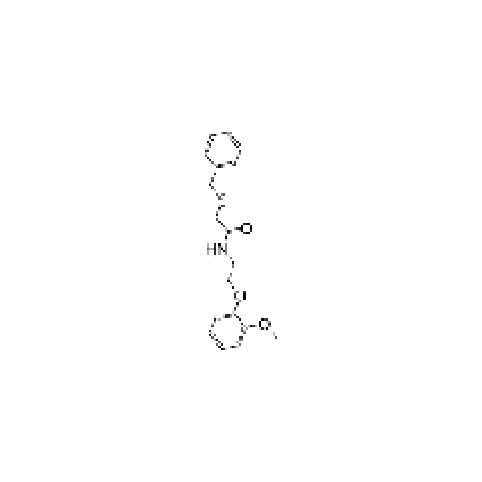 COc1ccccc1OCCNC(=O)CSCc1ccccc1